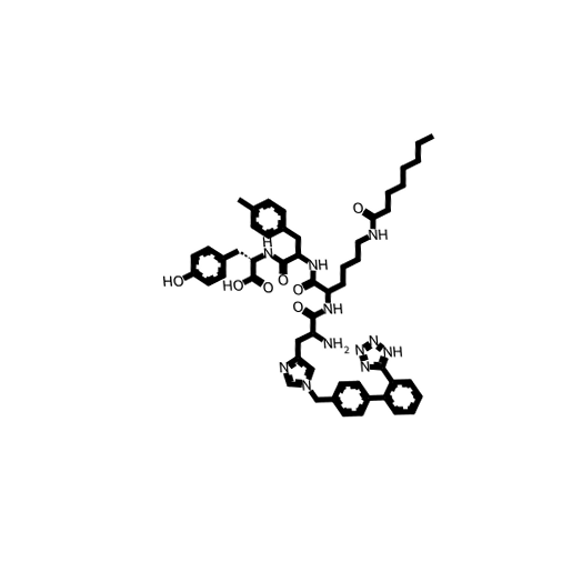 CCCCCCCC(=O)NCCCCC(NC(=O)C(N)Cc1cn(Cc2ccc(-c3ccccc3-c3nnn[nH]3)cc2)cn1)C(=O)NC(Cc1ccc(C)cc1)C(=O)N[C@@H](Cc1ccc(O)cc1)C(=O)O